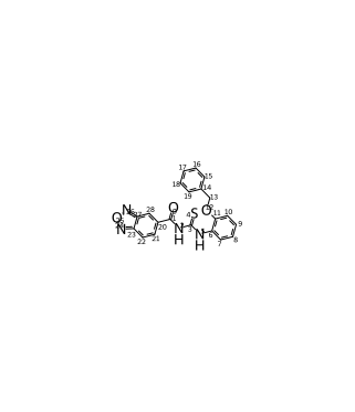 O=C(NC(=S)Nc1ccccc1OCc1ccccc1)c1ccc2nonc2c1